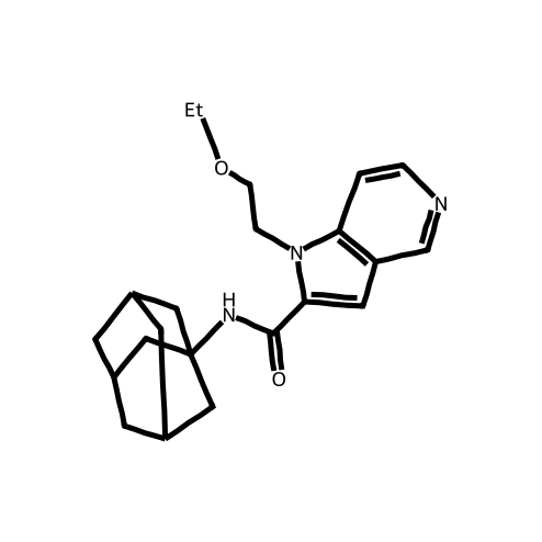 CCOCCn1c(C(=O)NC23CC4CC(CC(C4)C2)C3)cc2cnccc21